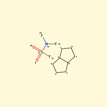 C1CC2CCCC2C1.O=S(=O)(F)N(F)F